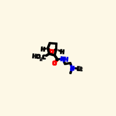 CCN(C)CCNC(=O)C1C(C(=O)O)[C@H]2CC[C@@H]1O2